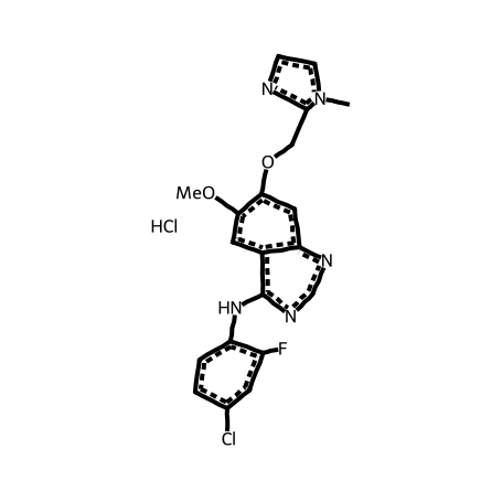 COc1cc2c(Nc3ccc(Cl)cc3F)ncnc2cc1OCc1nccn1C.Cl